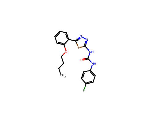 CCCCOc1ccccc1-c1nnc(NC(=O)Nc2ccc(F)cc2)s1